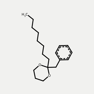 CCCCCCCCC1(Cc2ccccc2)OCCCO1